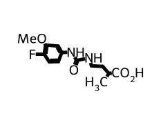 COc1cc(NC(=O)NCCC(C)C(=O)O)ccc1F